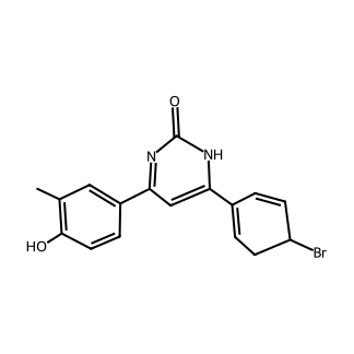 Cc1cc(-c2cc(C3=CCC(Br)C=C3)[nH]c(=O)n2)ccc1O